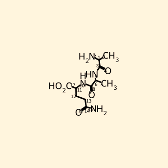 CC(N)C(=O)NC(C)C(=O)NC(CCC(N)=O)C(=O)O